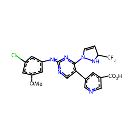 COc1cc(Cl)cc(Nc2ncc(-c3cncc(C(=O)O)c3)c(N3C=CC(C(F)(F)F)N3)n2)c1